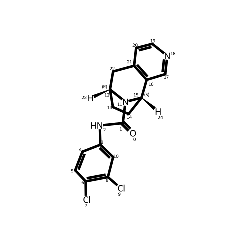 O=C(Nc1ccc(Cl)c(Cl)c1)N1[C@@H]2CC[C@H]1c1cnccc1C2